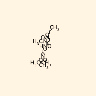 CCCCON1CC[C@@H](C(=O)NOCC2CN(C(=O)OC(C)(C)C)C2)N(CC)C1=O